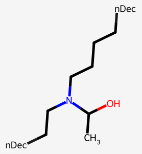 CCCCCCCCCCCCCCN(CCCCCCCCCCCC)C(C)O